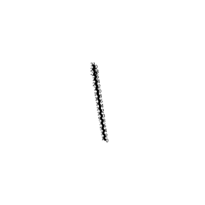 CCCCCCCCCCCCCCCCCCCCCCCCCCC[CH]SCCC